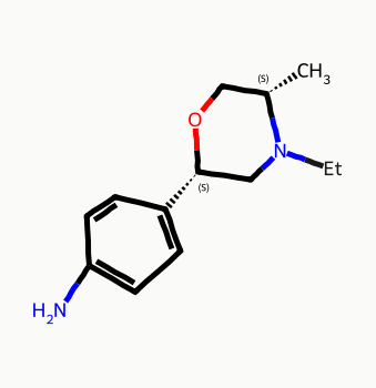 CCN1C[C@H](c2ccc(N)cc2)OC[C@@H]1C